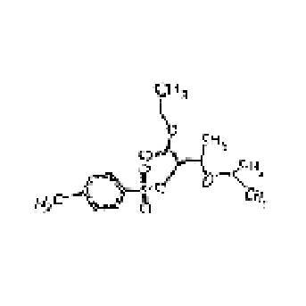 CCOC(=O)C(OS(=O)(=O)c1ccc(C)cc1)C(C)OC(C)C